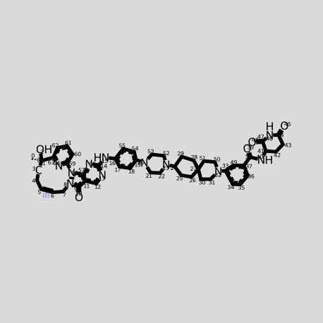 C[C@@]1(O)CC/C=C\Cn2c(=O)c3cnc(Nc4ccc(N5CCN(C6CCC7(CC6)CCN(c6cccc(C(=O)NC8CCC(=O)NC8=O)c6)CC7)CC5)cc4)nc3n2-c2cccc1n2